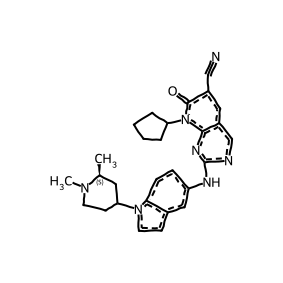 C[C@H]1CC(n2ccc3cc(Nc4ncc5cc(C#N)c(=O)n(C6CCCC6)c5n4)ccc32)CCN1C